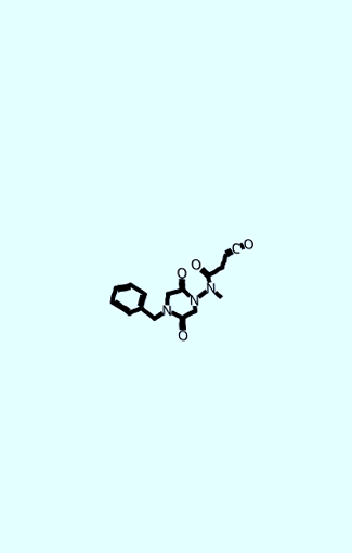 CN(C(=O)CC=C=O)N1CC(=O)N(Cc2ccccc2)CC1=O